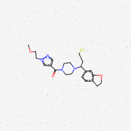 COCCn1cc(C(=O)N2CCN(C(CCS)c3ccc4c(c3)OCC4)CC2)cn1